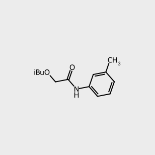 Cc1cccc(NC(=O)COCC(C)C)c1